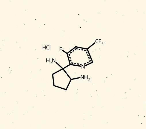 Cl.NC1CCCC1(N)c1ncc(C(F)(F)F)cc1F